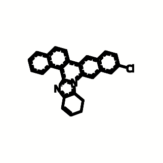 Clc1ccc2cc3c4ccc5ccccc5c4c4nc5c(n4c3cc2c1)CCC=C5